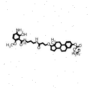 COc1ccc(N)c(O)c1C(=O)NCCCNC(=O)CCOC1CCC2C3CCc4cc(OP(=O)(OC)OC)ccc4C3CCC12C